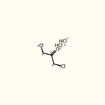 Cl.Cl.O=C(CCl)CCl